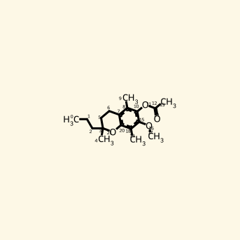 CCCC1(C)CCc2c(C)c(OC(C)=O)c(OC)c(C)c2O1